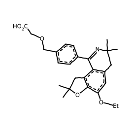 CCOc1cc2c(c3c1OC(C)(C)C3)C(c1ccc(COCC(=O)O)cc1)=NC(C)(C)C2